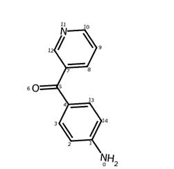 Nc1ccc(C(=O)c2cccnc2)cc1